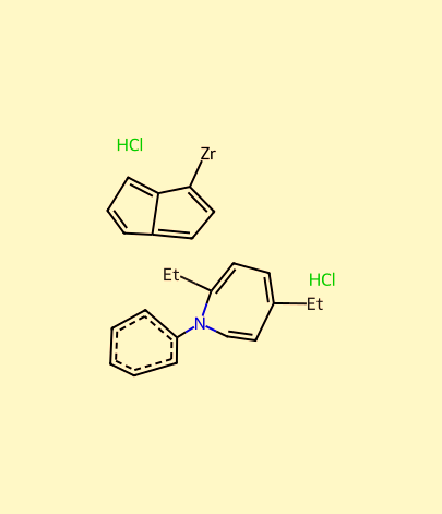 CCC1=CC=C(CC)N(c2ccccc2)C=C1.Cl.Cl.[Zr][C]1=CC=C2C=CC=C12